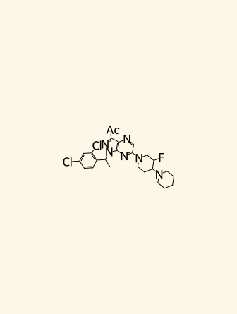 CC(=O)c1nn(C(C)c2ccc(Cl)cc2Cl)c2nc(N3CCC(N4CCCCC4)C(F)C3)cnc12